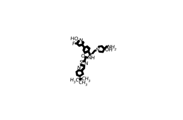 CC(C)(C)[C@H]1CCc2nc3sc(C(=O)N[C@H](CCN4CCC(O)(CN)CC4)c4ccc(-c5cnc(O)c(F)c5)cc4)nc3cc2C1